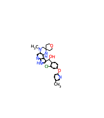 Cc1ccc(Oc2ccc(C(O)c3c[nH]c4ncc5c(c34)NC3(CCOCC3)CN5C)c(Cl)c2)nc1